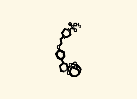 CS(=O)(=O)N1CCN(CCOc2ccc(C3CCC[C@]4(C3)OOC3CC5CC(C3)CC(C5)O4)cc2)CC1